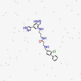 O=C(CCNCc1ccc(-c2ccccc2)c(Cl)c1)NCCCNc1cc(-c2cn[nH]c2)cc2[nH]ncc12